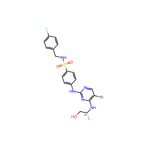 C[C@H](CO)Nc1nc(Nc2ccc(S(=O)(=O)NCc3ccc(F)cc3)cc2)ncc1Br